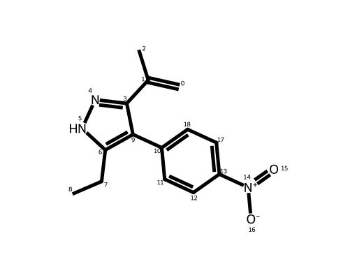 C=C(C)c1n[nH]c(CC)c1-c1ccc([N+](=O)[O-])cc1